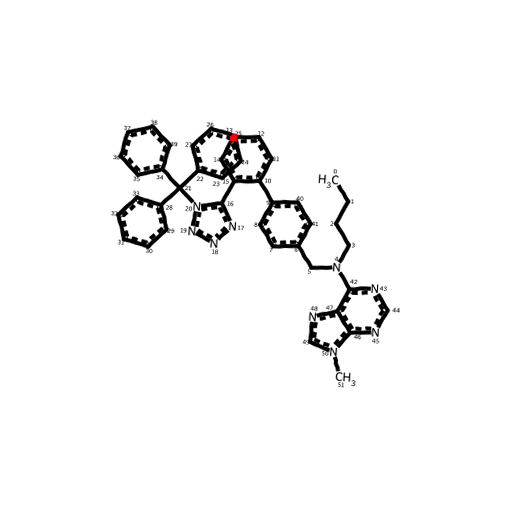 CCCCN(Cc1ccc(-c2ccccc2-c2nnnn2C(c2ccccc2)(c2ccccc2)c2ccccc2)cc1)c1ncnc2c1ncn2C